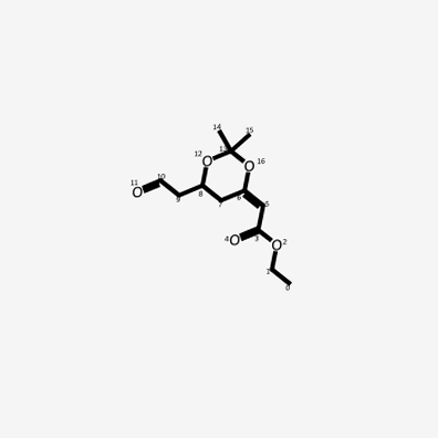 CCOC(=O)C=C1CC(CC=O)OC(C)(C)O1